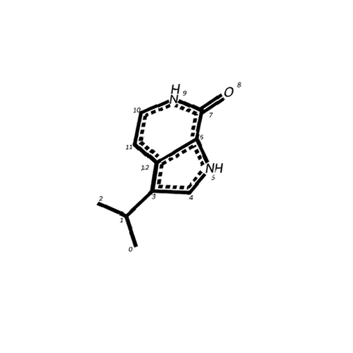 CC(C)c1c[nH]c2c(=O)[nH]ccc12